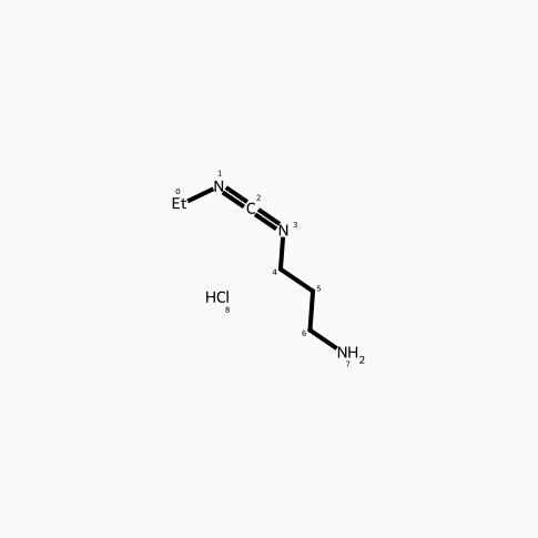 CCN=C=NCCCN.Cl